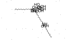 CCCCCCCCCCCCCC[C@@H](O)[C@@H](O)[C@H](CO[C@H]1O[C@H](CO)[C@H](O)[C@H](O)[C@H]1O)NC(=O)CCCCCCCCCCCNC(=O)NCCCCCCCCCCC